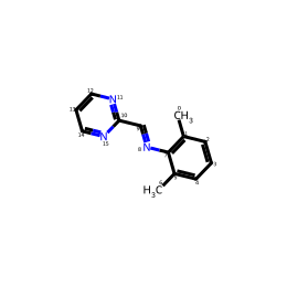 Cc1cccc(C)c1N=Cc1ncccn1